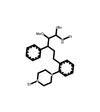 CCCCC(NCC)C(OC)C(CCc1ccccc1N1CCN(CC)CC1)c1ccccc1